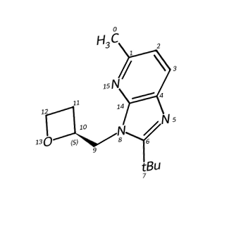 Cc1ccc2nc(C(C)(C)C)n(C[C@@H]3CCO3)c2n1